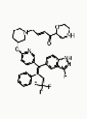 O=C(/C=C/CN1CCC[C@@H](Oc2ccc(/C(=C(/CC(F)(F)F)c3ccccc3)c3ccc4[nH]nc(F)c4c3)cn2)C1)C1CNCCO1